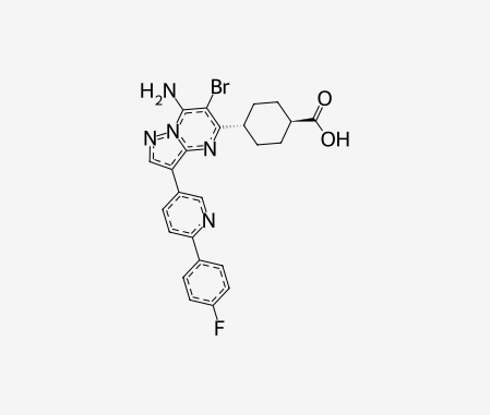 Nc1c(Br)c([C@H]2CC[C@H](C(=O)O)CC2)nc2c(-c3ccc(-c4ccc(F)cc4)nc3)cnn12